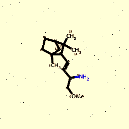 COCC(N)C=CC1C2(C)CCC(C2)C1(C)C